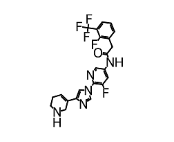 O=C(Cc1cccc(C(F)(F)F)c1F)Nc1cnc(-n2cnc(C3=CCCNC3)c2)c(F)c1